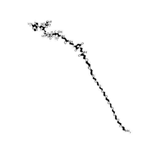 CC(C)(COP(=O)(O)OP(=O)(O)OC[C@H]1O[C@@H](n2cnc3c(N)ncnc32)C[C@H]1OP(=O)(O)O)[C@@H](O)C(=O)NCCC(=O)NCCSC1CC(=O)N(CCNC(=O)CCOCCOCCOCCOCCOCCOCCOCCOCCOCCOCCOCCOCCN)C1=O